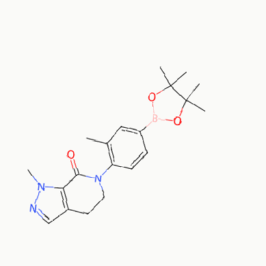 Cc1cc(B2OC(C)(C)C(C)(C)O2)ccc1N1CCc2cnn(C)c2C1=O